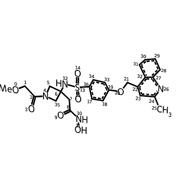 COCC(=O)N1CC(CC(=O)NO)(NS(=O)(=O)c2ccc(OCc3cc(C)nc4ccccc34)cc2)C1